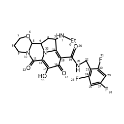 CCNC1CC2C3OCCCN3C(=O)c3c(O)c(=O)c(C(=O)NCc4c(F)cc(F)cc4F)c1n32